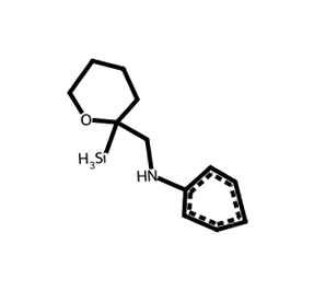 [SiH3]C1(CNc2ccccc2)CCCCO1